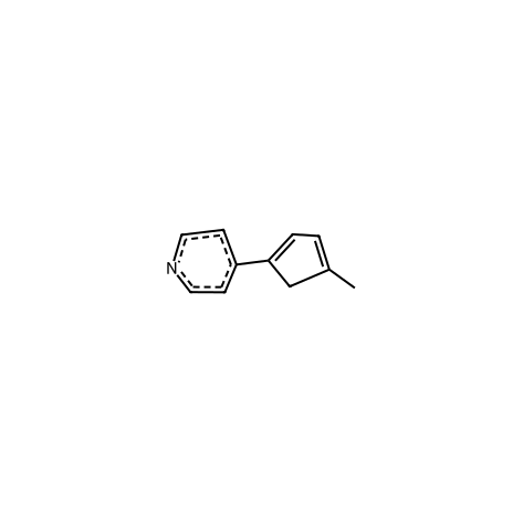 CC1=CC=C(c2ccncc2)C1